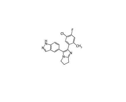 Cc1cc(F)c(Cl)cc1-c1nc2n(c1-c1ccc3[nH]ncc3c1)CCC2